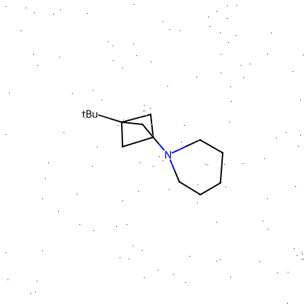 CC(C)(C)C12CC(N3CCCCC3)(C1)C2